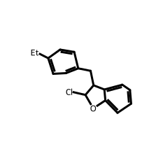 CCc1ccc(CC2[C](Cl)Oc3ccccc32)cc1